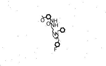 CC(=O)c1cccc(NC(=O)NCCCN2CC[C@@H](Cc3ccc(F)cc3)C[C@H]2Cc2ccccc2)c1